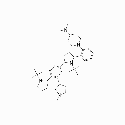 CN1CCC(c2cc(C3CCC(c4ccccc4N4CCC(N(C)C)CC4)N3C(C)(C)C)ccc2C2CCCN2C(C)(C)C)C1